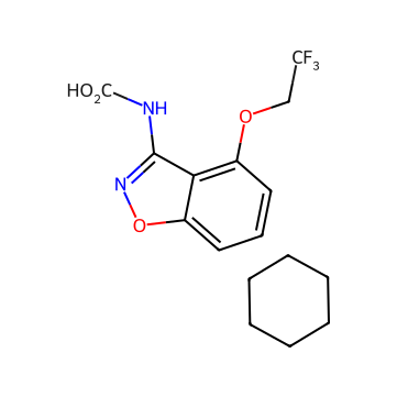 C1CCCCC1.O=C(O)Nc1noc2cccc(OCC(F)(F)F)c12